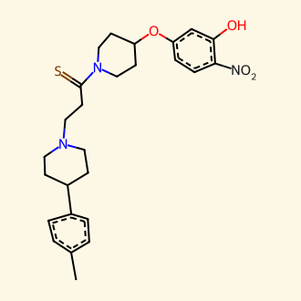 Cc1ccc(C2CCN(CCC(=S)N3CCC(Oc4ccc([N+](=O)[O-])c(O)c4)CC3)CC2)cc1